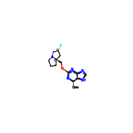 COc1nc(OC[C@@]23CCCN2C[C@H](F)C3)nc2nc[nH]c12